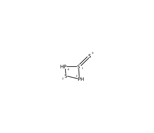 S=S1PSP1